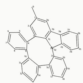 Cc1cc2c3ccccc3c3ccccc3c3ccccc3n3c4ccccc4c(c1)c23